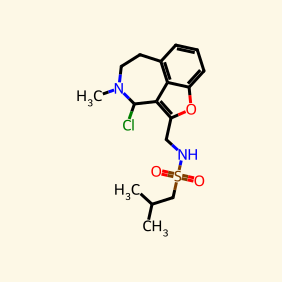 CC(C)CS(=O)(=O)NCc1oc2cccc3c2c1C(Cl)N(C)CC3